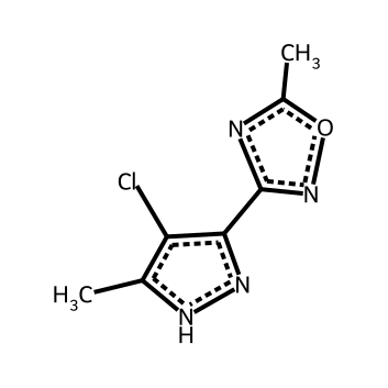 Cc1nc(-c2n[nH]c(C)c2Cl)no1